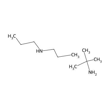 CC(C)(C)N.CCCNCCC